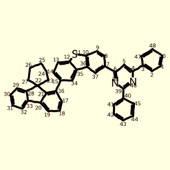 c1ccc(-c2cc(-c3ccc4sc5ccc(-c6cccc7c6C6(CCCCC6)c6ccccc6-7)cc5c4c3)nc(-c3ccccc3)n2)cc1